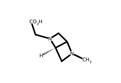 CN1C[C@@H]2C1CN2CC(=O)O